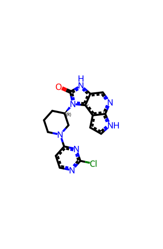 O=c1[nH]c2cnc3[nH]ccc3c2n1[C@@H]1CCCN(c2ccnc(Cl)n2)C1